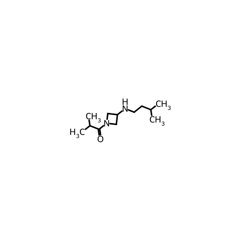 CC(C)CCNC1CN(C(=O)C(C)C)C1